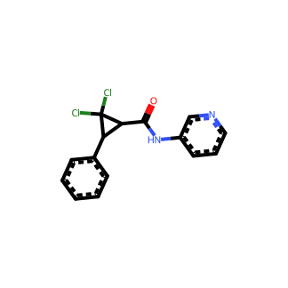 O=C(Nc1cccnc1)C1C(c2ccccc2)C1(Cl)Cl